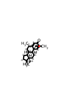 C=C=C[C@]12C=CC(=O)C=C1[C@@H](C)C[C@@H]1[C@@H]2CC[C@]2(CC)C(=O)CC[C@@H]12